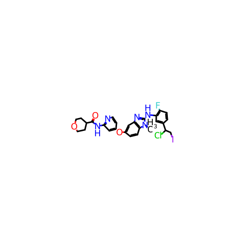 Cn1c(Nc2cc(C(Cl)CI)ccc2F)nc2cc(Oc3ccnc(NC(=O)C4CCOCC4)c3)ccc21